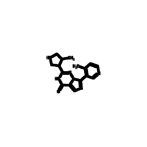 Cc1ccncc1-c1ncc2c(=O)[nH]c(C3CNCC3C)nn12